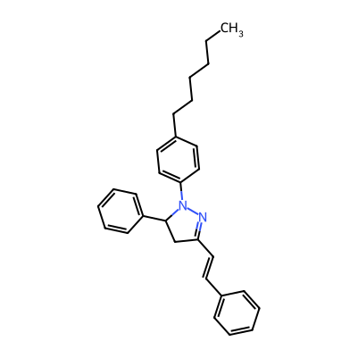 CCCCCCc1ccc(N2N=C(C=Cc3ccccc3)CC2c2ccccc2)cc1